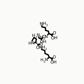 NCC(=O)O.NCCCCC(N)C(=O)O.NCCCCC(N)C(=O)O.O=C(O)[C@@H]1CCCN1